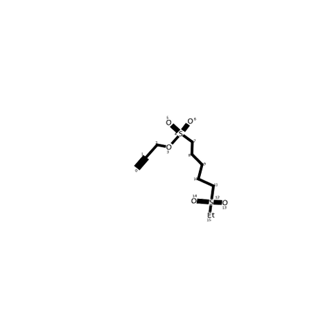 C#CCOS(=O)(=O)CCCCCS(=O)(=O)CC